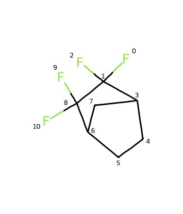 FC1(F)C2CCC(C2)C1(F)F